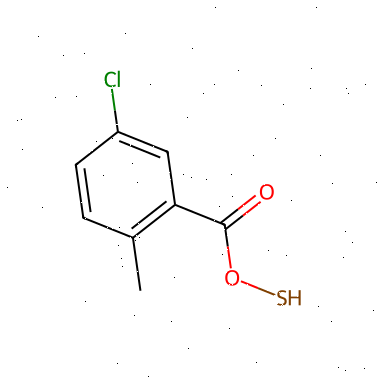 Cc1ccc(Cl)cc1C(=O)OS